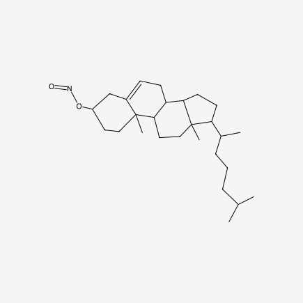 CC(C)CCCC(C)C1CCC2C3CC=C4CC(ON=O)CCC4(C)C3CCC12C